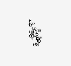 CS(=O)(=O)Oc1cccc2[nH]c(C(=O)N3C[C@@H]4CCC[C@@H]4[C@H]3C(=O)N[C@@H](CC[C@@H]3CCNC3=O)C(=O)CO)cc12